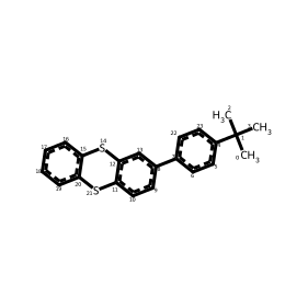 CC(C)(C)c1ccc(-c2ccc3c(c2)Sc2ccccc2S3)cc1